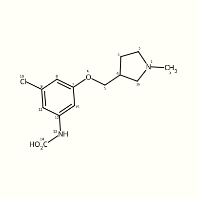 CN1CCC(COc2cc(Cl)cc(NC(=O)O)c2)C1